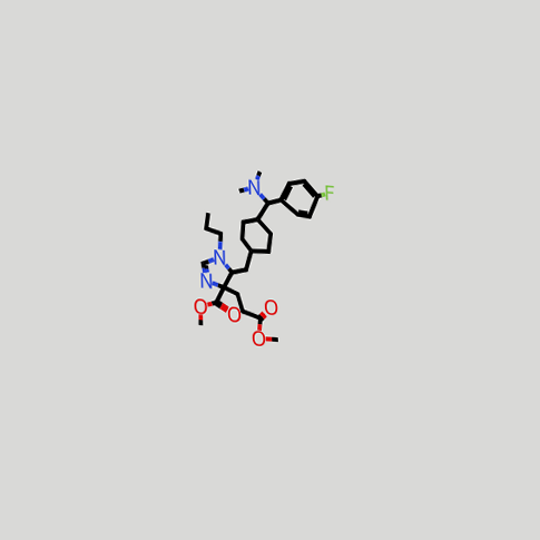 CCCN1C=NC(CCC(=O)OC)(C(=O)OC)C1CC1CCC(C(c2ccc(F)cc2)N(C)C)CC1